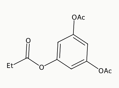 CCC(=O)Oc1cc(OC(C)=O)cc(OC(C)=O)c1